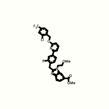 COCCn1c(Cc2ccc(-c3cccc(OCc4ccc(C(F)(F)F)cc4Cl)n3)cc2F)nc2ccc(C(=O)OC)cc21